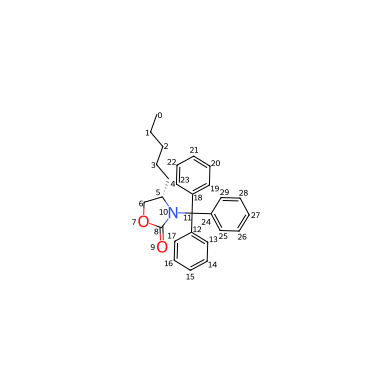 CCCCC[C@H]1COC(=O)N1C(c1ccccc1)(c1ccccc1)c1ccccc1